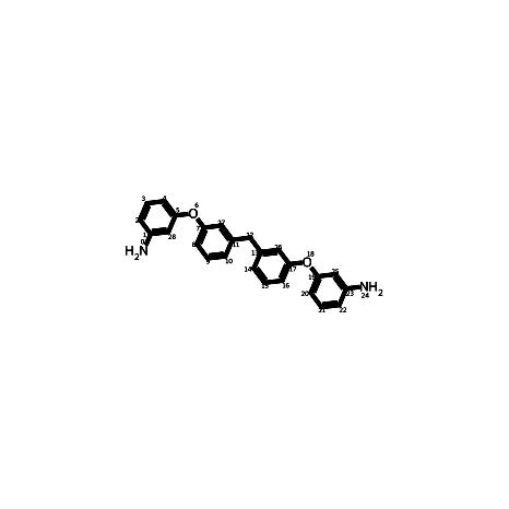 Nc1cccc(Oc2cccc(Cc3cccc(Oc4cccc(N)c4)c3)c2)c1